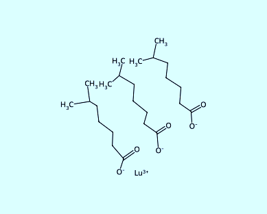 CC(C)CCCCC(=O)[O-].CC(C)CCCCC(=O)[O-].CC(C)CCCCC(=O)[O-].[Lu+3]